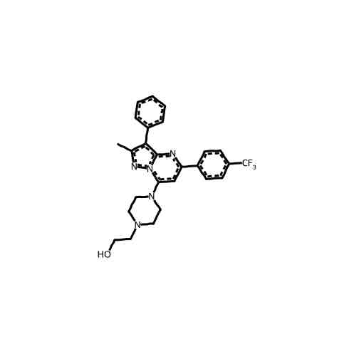 Cc1nn2c(N3CCN(CCO)CC3)cc(-c3ccc(C(F)(F)F)cc3)nc2c1-c1ccccc1